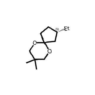 CC[C@H]1CCC2(C1)OCC(C)(C)CO2